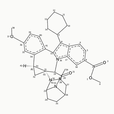 COC(=O)c1ccc2c(C3CCCCC3)c3n(c2c1)C(C(=O)N1C2CCC1CN(C)C2)[C@H]1C[C@H]1c1cc(OC)ccc1-3